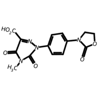 Cn1c(=O)c(C(=O)O)nn(-c2ccc(N3CCOC3=O)cc2)c1=O